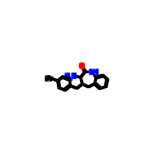 CC(C)c1ccc(CC2Cc3ccccc3NC(=O)C2N)cc1